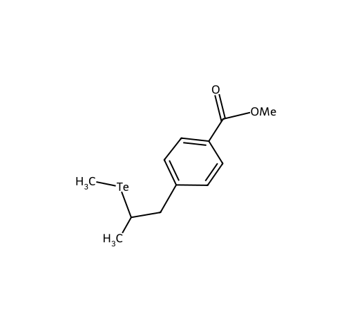 COC(=O)c1ccc(CC(C)[Te]C)cc1